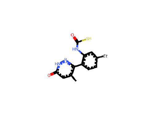 CCc1ccc(-c2n[nH]c(=O)cc2C)c(NC(=O)S)c1